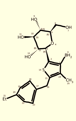 Bc1c([C@@H]2O[C@H](CO)[C@@H](O)[C@H](O)[C@H]2O)sc(Cc2ccc(CC)cc2)c1C